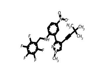 Cn1cc(C#CC(C)(C)C)c(-c2cc([N+](=O)[O-])ccc2NCc2c(F)c(F)c(F)c(F)c2F)n1